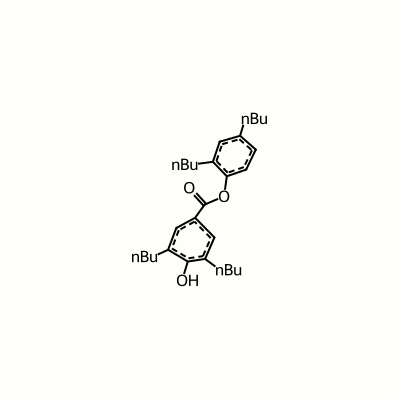 CCCCc1ccc(OC(=O)c2cc(CCCC)c(O)c(CCCC)c2)c(CCCC)c1